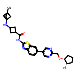 N#CC12CC(NC3CC(C(=O)Nc4nc5ccc(-c6cnc(CO[C@H]7CCC[C@@H]7O)nc6)cc5s4)C3)(C1)C2